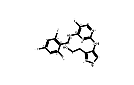 OCCc1n[nH]cc1Nc1ncc(F)c(NCc2c(F)cc(F)cc2F)n1